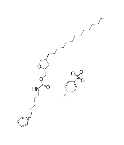 CCCCCCCCCCCCCC[C@@H]1CO[C@@H](COC(=O)NCCCCC[n+]2ccsc2)C1.Cc1ccc(S(=O)(=O)[O-])cc1